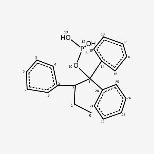 CCC(c1ccccc1)C(OP(O)O)(c1ccccc1)c1ccccc1